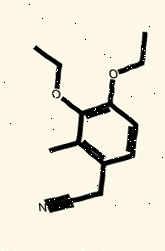 CCOc1ccc(CC#N)c(C)c1OCC